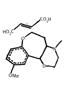 COc1ccc2c(c1)C1OCCN(C)C1CCO2.O=C(O)/C=C/C(=O)O